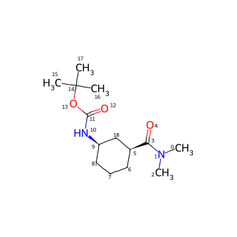 CN(C)C(=O)[C@H]1CC[CH][C@@H](NC(=O)OC(C)(C)C)C1